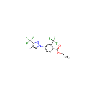 CCOC(=O)c1ccc(-n2cc(I)c(C(F)(F)F)n2)cc1C(F)(F)F